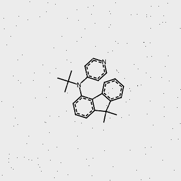 CC1(C)c2ccccc2-c2c(N(c3ccncc3)C(C)(C)C)cccc21